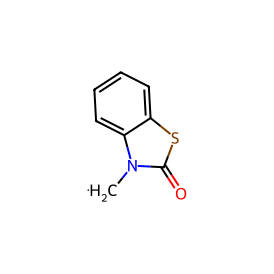 [CH2]n1c(=O)sc2ccccc21